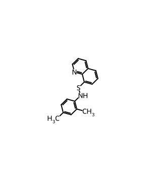 Cc1ccc(NSc2cccc3cccnc23)c(C)c1